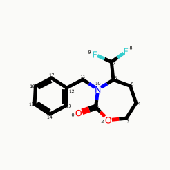 O=C1OCCCC(C(F)F)N1Cc1ccccc1